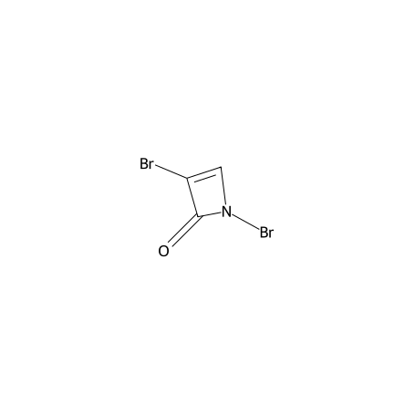 O=C1C(Br)=CN1Br